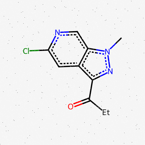 CCC(=O)c1nn(C)c2cnc(Cl)cc12